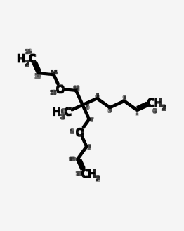 C=CCCCC(C)(COCC=C)COCC=C